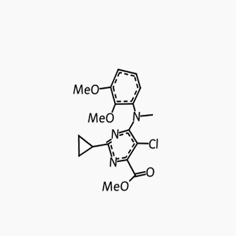 COC(=O)c1nc(C2CC2)nc(N(C)c2cccc(OC)c2OC)c1Cl